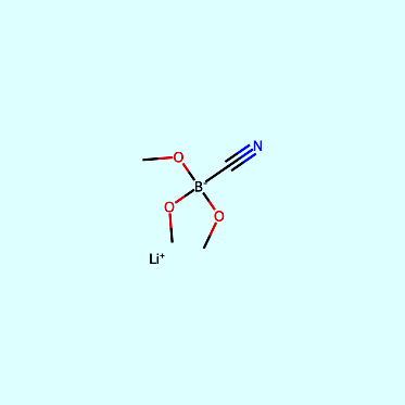 CO[B-](C#N)(OC)OC.[Li+]